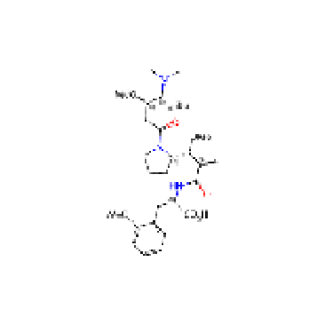 CC[C@H](C)[C@@H]([C@@H](CC(=O)N1CCC[C@H]1C(OC)[C@@H](C)C(=O)N[C@@H](Cc1ccccc1OC)C(=O)O)OC)N(C)C